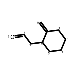 C=C1CCCCC1CC=O